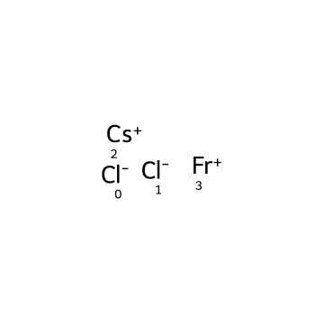 [Cl-].[Cl-].[Cs+].[Fr+]